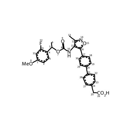 COc1ccc(C(C)OC(=O)Nc2c(C)noc2-c2ccc(-c3ccc(CC(=O)O)cc3)cc2)c(F)c1